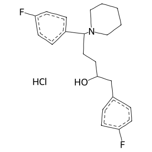 Cl.OC(CCC(c1ccc(F)cc1)N1CCCCC1)Cc1ccc(F)cc1